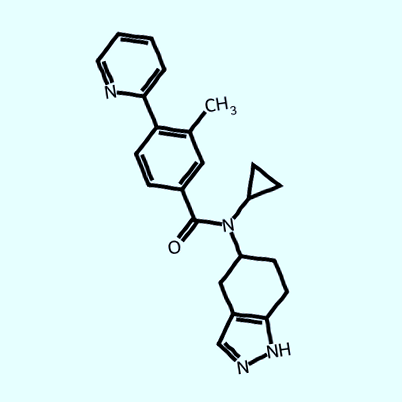 Cc1cc(C(=O)N(C2CC2)C2CCc3[nH]ncc3C2)ccc1-c1ccccn1